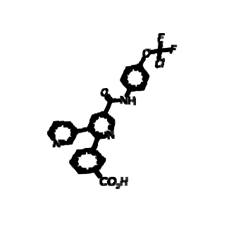 O=C(O)c1cccc(-c2ncc(C(=O)Nc3ccc(OC(F)(F)Cl)cc3)cc2-c2cccnc2)c1